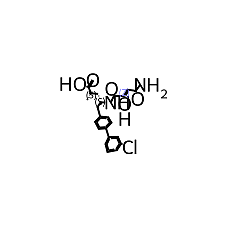 C[C@@H](C[C@@H](Cc1ccc(-c2cccc(Cl)c2)cc1)NC(=O)/C(O)=C/C(N)=O)C(=O)O